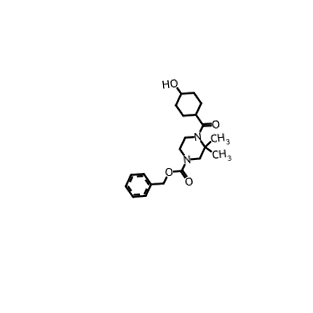 CC1(C)CN(C(=O)OCc2ccccc2)CCN1C(=O)C1CCC(O)CC1